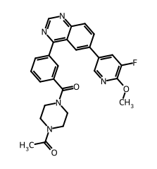 COc1ncc(-c2ccc3ncnc(-c4cccc(C(=O)N5CCN(C(C)=O)CC5)c4)c3c2)cc1F